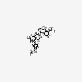 Cc1nc2c(c(-c3ccn(CCF)n3)n1)CCN(C(=O)c1cccc(C(F)(F)F)c1Cl)C2